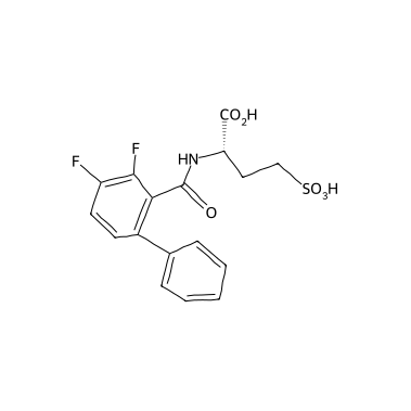 O=C(N[C@@H](CCS(=O)(=O)O)C(=O)O)c1c(-c2ccccc2)ccc(F)c1F